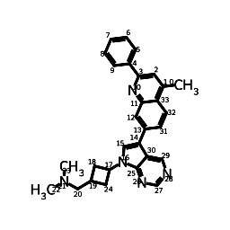 Cc1cc(-c2ccccc2)nc2cc(-c3cn(C4CC(CN(C)C)C4)c4ncncc34)ccc12